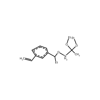 C=Cc1cccc(C(CC)O[SiH2]C(C)(OCC)OCC)c1